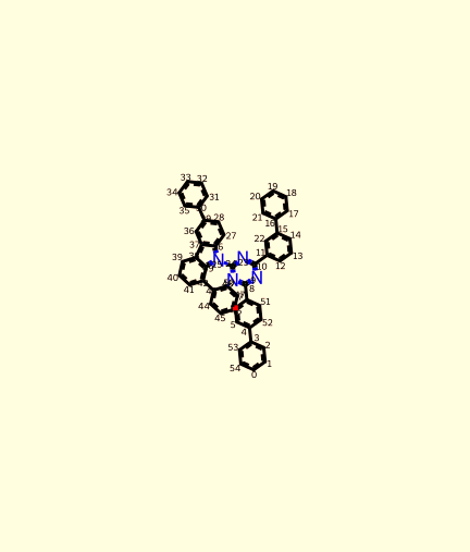 c1ccc(-c2ccc(-c3nc(-c4cccc(-c5ccccc5)c4)nc(-n4c5ccc(-c6ccccc6)cc5c5cccc(-c6ccccc6)c54)n3)cc2)cc1